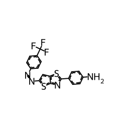 Nc1ccc(-c2nc3sc(/N=N\c4ccc(C(F)(F)F)cc4)cc3s2)cc1